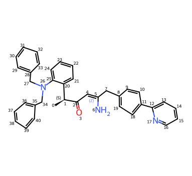 C[C@H](C(=O)/C=C(\N)Cc1ccc(-c2ccccn2)cc1)c1ccccc1N(Cc1ccccc1)Cc1ccccc1